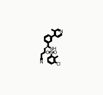 Cc1cnccc1-c1cccc([C@H](CCCC#N)NS(=O)(=O)c2cccc(Cl)c2C)c1